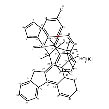 Cl.Cl.[CH2]=[Zr]([C]1=CC=CC1)([c]1ccc(Cl)cc1)([c]1cccc2ccccc12)[C]1(C)C2=C3Cc4ccccc4C3=C3C=CCCC3C2(C)C(C)(C)C(C)(C)C1(C)C